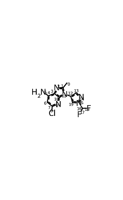 Cc1nc2c(N)cc(Cl)nc2n1-c1cnn(C(F)F)c1